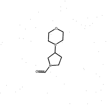 O=[C]N1CCC(N2CCOCC2)C1